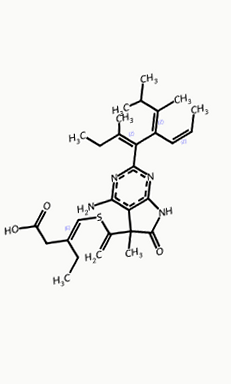 C=C(S/C=C(\CC)CC(=O)O)C1(C)C(=O)Nc2nc(C(=C(/C)CC)/C(/C=C\C)=C(/C)C(C)C)nc(N)c21